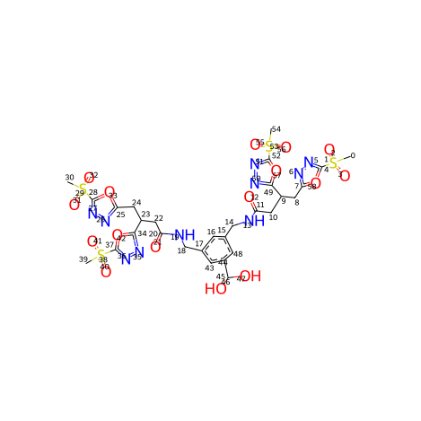 CS(=O)(=O)c1nnc(CC(CC(=O)NCc2cc(CNC(=O)CC(Cc3nnc(S(C)(=O)=O)o3)c3nnc(S(C)(=O)=O)o3)cc(C(O)O)c2)c2nnc(S(C)(=O)=O)o2)o1